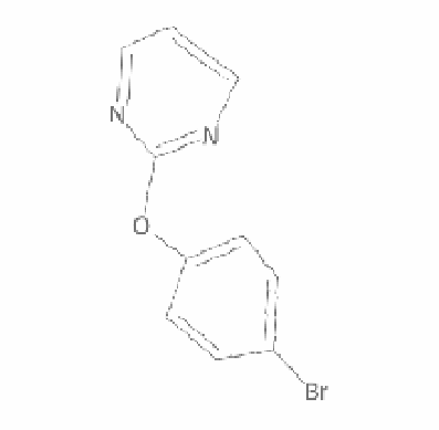 Brc1ccc(Oc2ncccn2)cc1